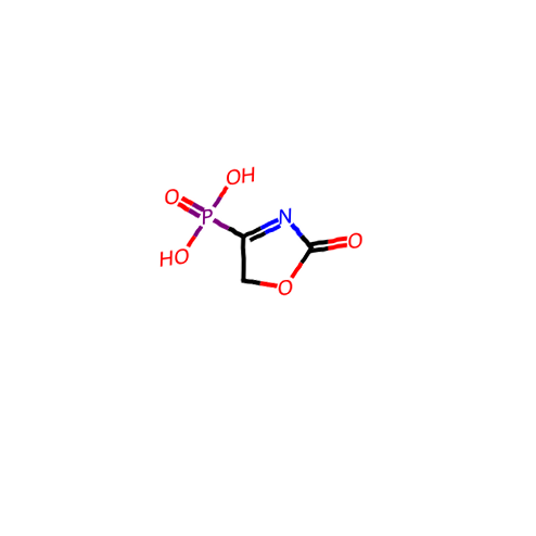 O=C1N=C(P(=O)(O)O)CO1